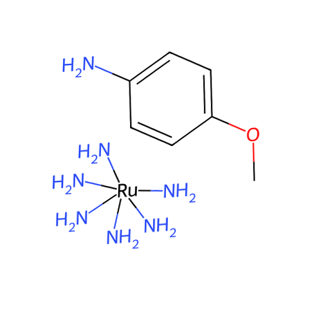 COc1ccc(N)cc1.[NH2][Ru]([NH2])([NH2])([NH2])([NH2])[NH2]